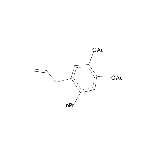 C=CCc1cc(OC(C)=O)c(OC(C)=O)cc1CCC